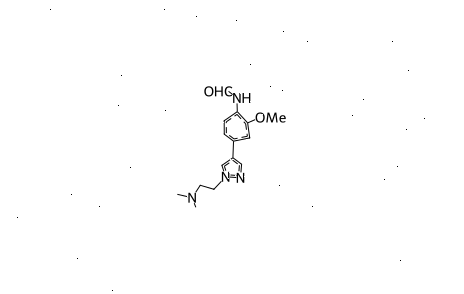 COc1cc(-c2cnn(CCN(C)C)c2)ccc1NC=O